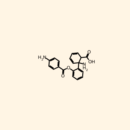 Nc1ccc(C(=O)Oc2ccccc2C2(N)C=CC=CC2C(=O)O)cc1